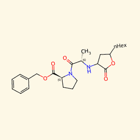 CCCCCCC1CC(N[C@@H](C)C(=O)N2CCC[C@H]2C(=O)OCc2ccccc2)C(=O)O1